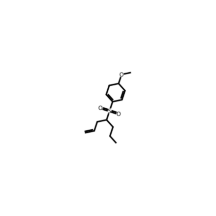 C=CCC(CCC)S(=O)(=O)C1=CCC(OC)C=C1